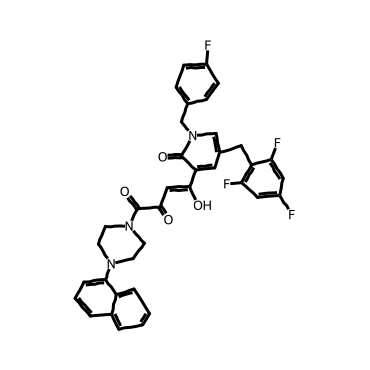 O=C(C=C(O)c1cc(Cc2c(F)cc(F)cc2F)cn(Cc2ccc(F)cc2)c1=O)C(=O)N1CCN(c2cccc3ccccc23)CC1